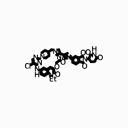 CCn1c(=O)c(OCC(=O)NC)cc2cc(Nc3nc(N4CCC(CN5CC(C6CN(c7ccc8c(c7)C(=O)N(C7CCC(=O)NC7=O)C8=O)C6)C5)CC4)ncc3Cl)ccc21